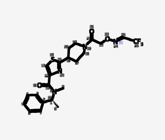 C[C@H](c1ccccc1)N(C)C(=O)c1csc(C2CCN(C(=O)CO/N=C/C(F)(F)F)CC2)n1